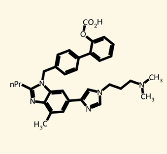 CCCc1nc2c(C)cc(-c3cn(CCCN(C)C)cn3)cc2n1Cc1ccc(-c2ccccc2OC(=O)O)cc1